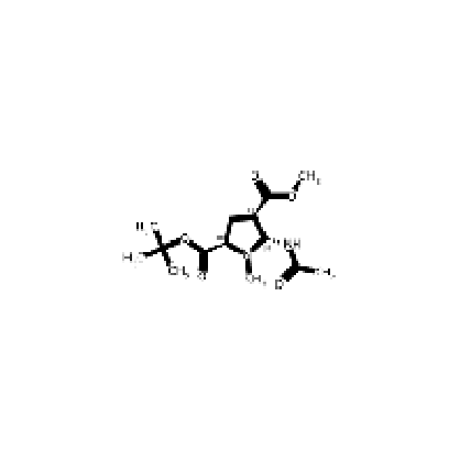 COC(=O)[C@@H]1C[C@H](C(=O)OC(C)(C)C)N(C)[C@H]1NC(C)=O